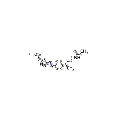 C=CC(=O)NCCCN(C)c1ccc(/N=N/c2nnc(SCC)s2)cc1